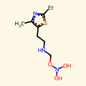 CCc1nc(C)c(CCNCON(O)O)s1